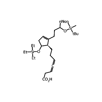 CCCCCCCCCC(CCC1=CCC(O[Si](CC)(CC)CC)[C@@H]1CCC=C=CCC(=O)O)O[Si](C)(C)C(C)(C)C